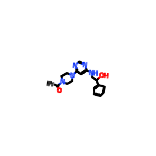 CC(C)C(=O)N1CCN(c2cc(NCC(O)c3ccccc3)ncn2)CC1